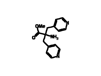 COC(=O)C(N)(Cc1ccncc1)Cc1ccncc1